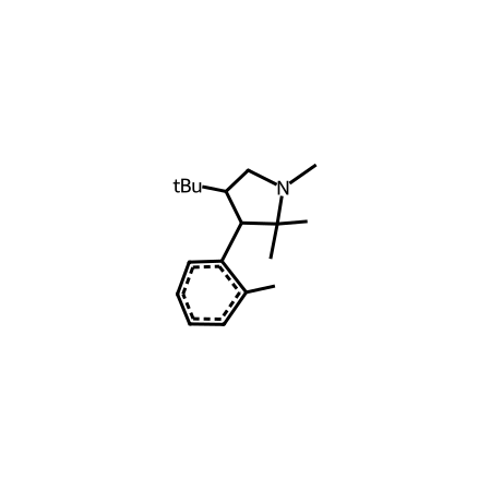 Cc1ccccc1C1C(C(C)(C)C)CN(C)C1(C)C